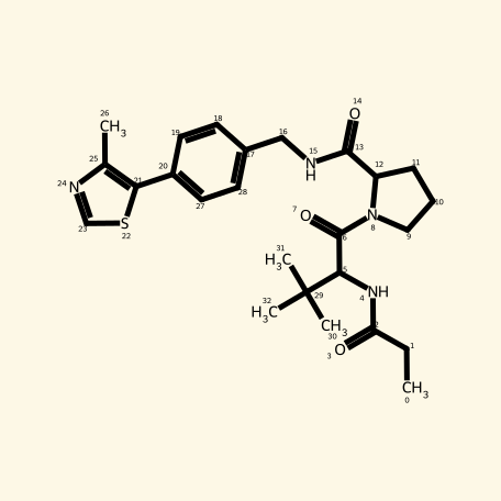 CCC(=O)NC(C(=O)N1CCCC1C(=O)NCc1ccc(-c2scnc2C)cc1)C(C)(C)C